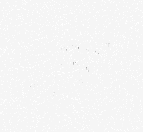 CC(C)(NC(=O)O)C(=O)NC(CCc1ccc(CO)c(F)c1)C(=O)N1CCC2=NN(CC(F)(F)F)C(=O)C2(Cc2ccccn2)C1